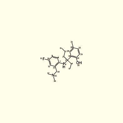 CCCC(CC)(Pc1ccc(F)cc1CN(C)C)c1cc(C)ccc1O